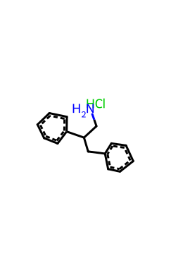 Cl.NCC(Cc1ccccc1)c1ccccc1